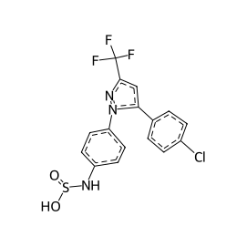 O=S(O)Nc1ccc(-n2nc(C(F)(F)F)cc2-c2ccc(Cl)cc2)cc1